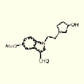 COc1ccc2c(c1)c(C=O)cn2CCN1CCC(O)C1